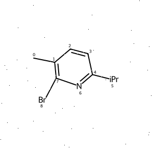 Cc1ccc(C(C)C)nc1Br